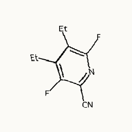 CCc1c(F)nc(C#N)c(F)c1CC